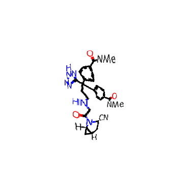 CNC(=O)c1ccc(C(CCNCC(=O)N2[C@H](C#N)C[C@@H]3C[C@@H]32)(c2ccc(C(=O)NC)cc2)c2nn[nH]n2)cc1